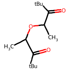 CC(OC(C)C(=O)C(C)(C)C)C(=O)C(C)(C)C